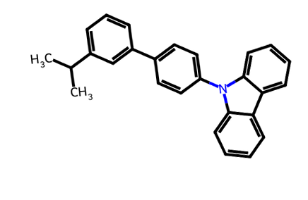 CC(C)c1cccc(-c2ccc(-n3c4ccccc4c4ccccc43)cc2)c1